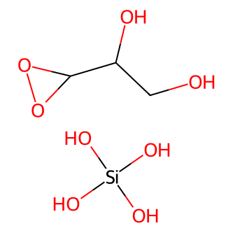 OCC(O)C1OO1.O[Si](O)(O)O